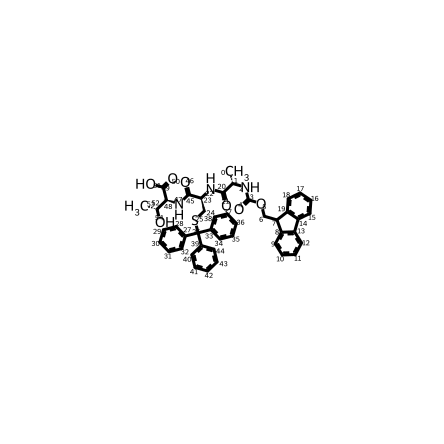 C[C@H](NC(=O)OCC1c2ccccc2-c2ccccc21)C(=O)N[C@@H](CSC(c1ccccc1)(c1ccccc1)c1ccccc1)C(=O)N[C@H](C(=O)O)[C@@H](C)O